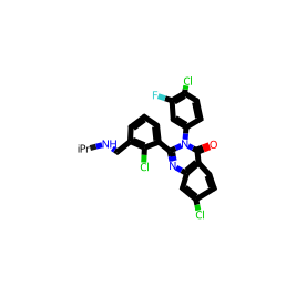 CC(C)NCc1cccc(-c2nc3cc(Cl)ccc3c(=O)n2-c2ccc(Cl)c(F)c2)c1Cl